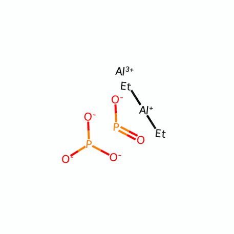 C[CH2][Al+][CH2]C.O=P[O-].[Al+3].[O-]P([O-])[O-]